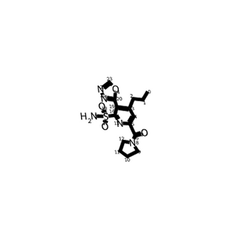 CCCc1cc(C(=O)N2CCCC2)nc(S(N)(=O)=O)c1-c1nnco1